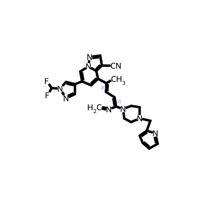 C=N/C(=C\C=C(/C)c1cc(-c2cnn(C(F)F)c2)cn2ncc(C#N)c12)N1CCN(Cc2ccccn2)CC1